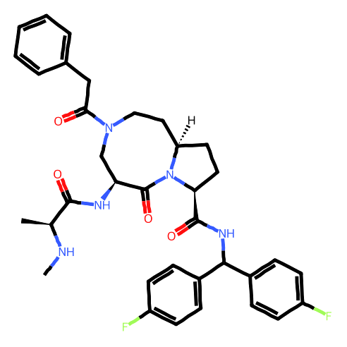 CN[C@@H](C)C(=O)N[C@H]1CN(C(=O)Cc2ccccc2)CC[C@H]2CC[C@@H](C(=O)NC(c3ccc(F)cc3)c3ccc(F)cc3)N2C1=O